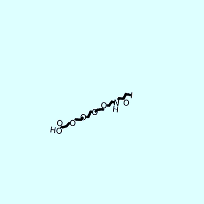 O=C(O)CCOCCOCCOCCOCCNCC(=O)CI